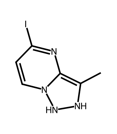 CC1=C2N=C(I)C=CN2NN1